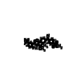 CC(C)[C@@H](NC(=O)c1cc(C(F)(F)F)ccc1F)C(=O)N1CCC(Nc2ccc(S(C)(=O)=O)cc2)CC1